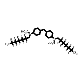 O=C(O)N(CC(F)(F)C(F)(F)C(F)(F)C(F)(F)C(F)(F)C(F)(F)F)C1CCC(CC2CCC(N(CC(F)(F)C(F)(F)C(F)(F)C(F)(F)C(F)(F)C(F)(F)F)C(=O)O)CC2)CC1